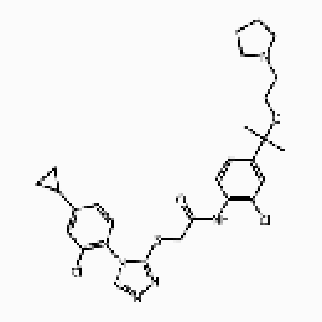 CC(C)(OCCN1CCCC1)c1ccc(NC(=O)CSc2nnnn2-c2ccc(C3CC3)cc2Cl)c(Cl)c1